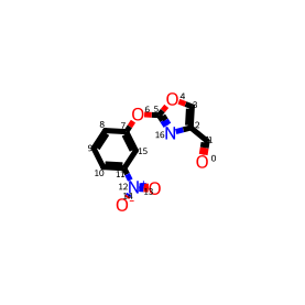 O=[C]c1coc(Oc2cccc([N+](=O)[O-])c2)n1